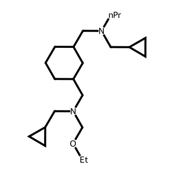 CCCN(CC1CC1)CC1CCCC(CN(COCC)CC2CC2)C1